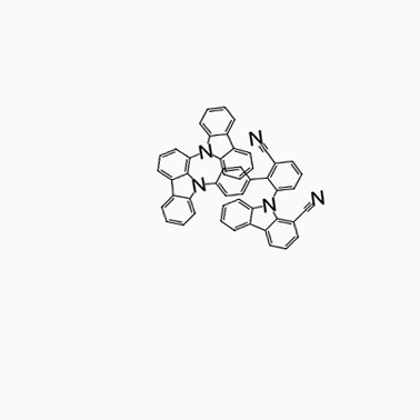 N#Cc1cccc(-n2c3ccccc3c3cccc(C#N)c32)c1-c1ccc(-n2c3ccccc3c3cccc(-n4c5ccccc5c5ccccc54)c32)cc1